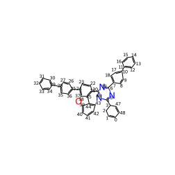 C1=CCC(c2nc(-c3ccc(-c4ccccc4)cc3)nc(-c3ccc(-c4ccc(-c5ccccc5)cc4)c4oc5ccccc5c34)n2)C=C1